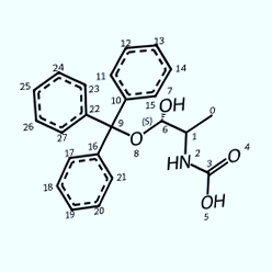 CC(NC(=O)O)[C@@H](O)OC(c1ccccc1)(c1ccccc1)c1ccccc1